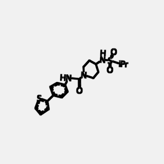 CC(C)S(=O)(=O)NC1CCN(C(=O)Nc2ccc(-c3cccs3)cc2)CC1